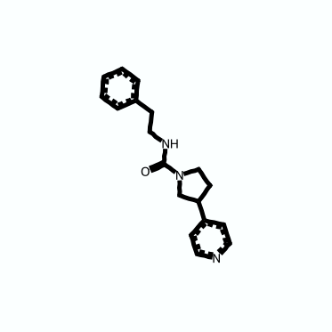 O=C(NCCc1ccccc1)N1CCC(c2ccncc2)C1